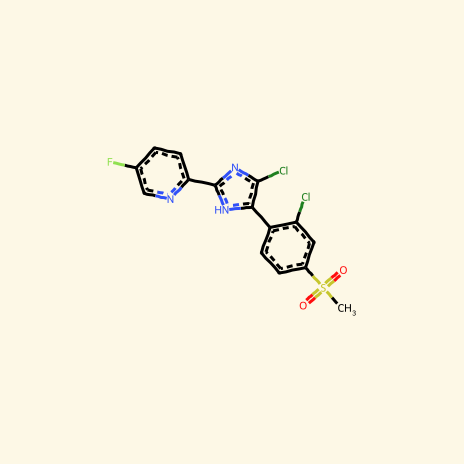 CS(=O)(=O)c1ccc(-c2[nH]c(-c3ccc(F)cn3)nc2Cl)c(Cl)c1